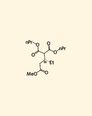 CCCOC(=O)C(C(=O)OCCC)[C@H](CC)CC(=O)OC